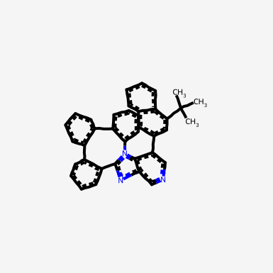 CC(C)(C)c1cc(-c2cncc3nc4n(c23)-c2ccccc2-c2ccccc2-c2ccccc2-4)cc2ccccc12